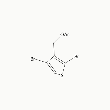 CC(=O)OCc1c(Br)csc1Br